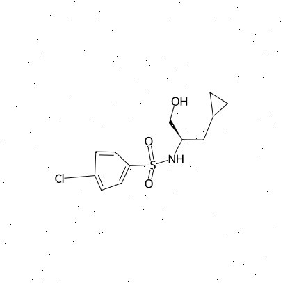 O=S(=O)(N[C@@H](CO)CC1CC1)c1ccc(Cl)cc1